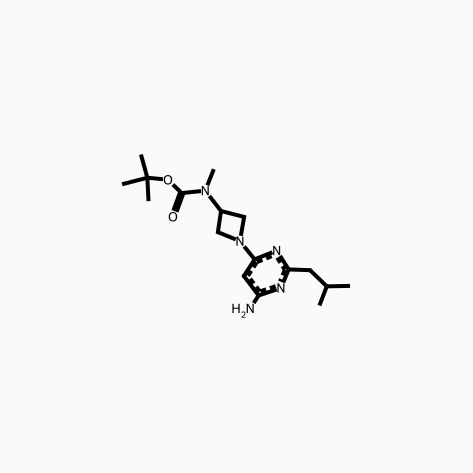 CC(C)Cc1nc(N)cc(N2CC(N(C)C(=O)OC(C)(C)C)C2)n1